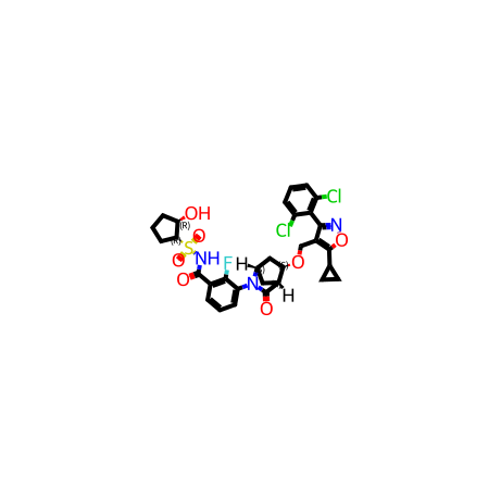 O=C(NS(=O)(=O)[C@@H]1CCC[C@H]1O)c1cccc(N2C(=O)[C@@H]3C[C@H]2C[C@@H]3OCc2c(-c3c(Cl)cccc3Cl)noc2C2CC2)c1F